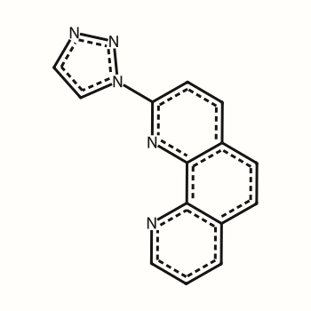 c1cnc2c(c1)ccc1ccc(-n3ccnn3)nc12